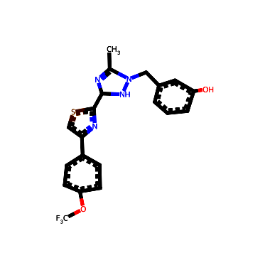 CC1=NC(c2nc(-c3ccc(OC(F)(F)F)cc3)cs2)NN1Cc1cccc(O)c1